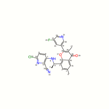 Cc1cc([C@@H](C)Nc2ccc(Cl)nc2C#N)c2oc(-c3cncc(F)c3)c(C)c(=O)c2c1